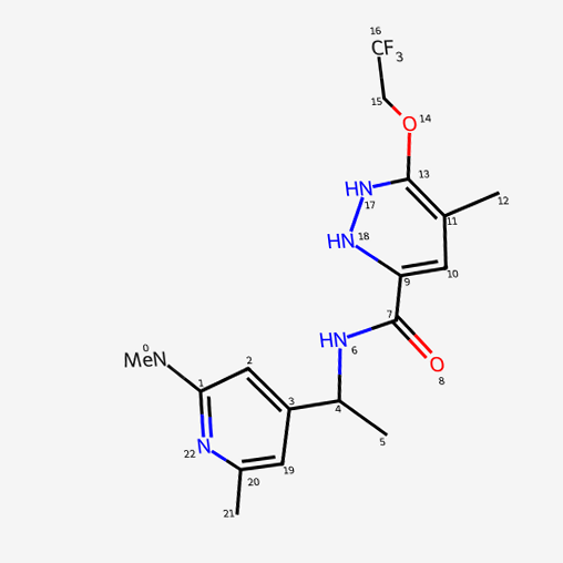 CNc1cc(C(C)NC(=O)C2=CC(C)=C(OCC(F)(F)F)NN2)cc(C)n1